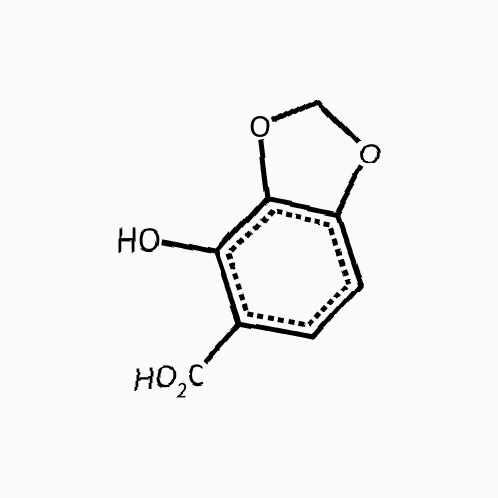 O=C(O)c1ccc2c(c1O)OCO2